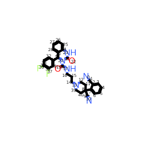 N#Cc1ccccc1C1(C#N)CCN(CCCNC(=O)N2C(=O)Nc3ccccc3C2c2ccc(F)c(F)c2)CC1